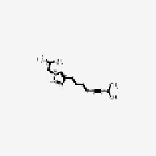 CC(C)C#CCCCCc1cn(CC(C)C)nn1